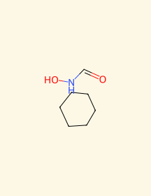 C1CCCCC1.O=CNO